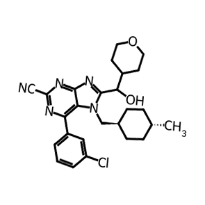 C[C@H]1CC[C@H](Cn2c(C(O)C3CCOCC3)nc3nc(C#N)nc(-c4cccc(Cl)c4)c32)CC1